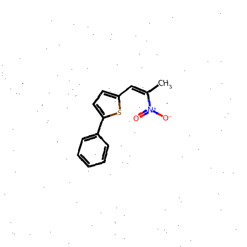 CC(=Cc1ccc(-c2ccccc2)s1)[N+](=O)[O-]